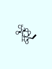 C=CS(=O)(=O)NS(=O)(=O)C(F)(F)F